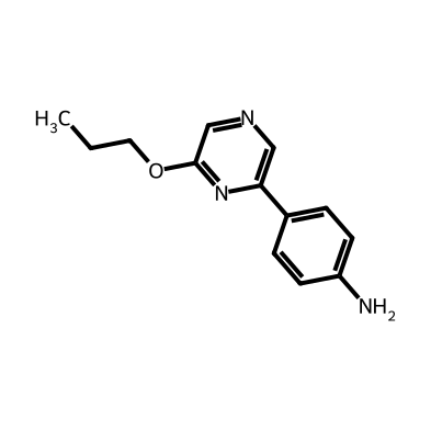 CCCOc1cncc(-c2ccc(N)cc2)n1